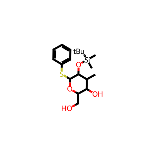 CC1C(O)C(CO)OC(Sc2ccccc2)C1O[Si](C)(C)C(C)(C)C